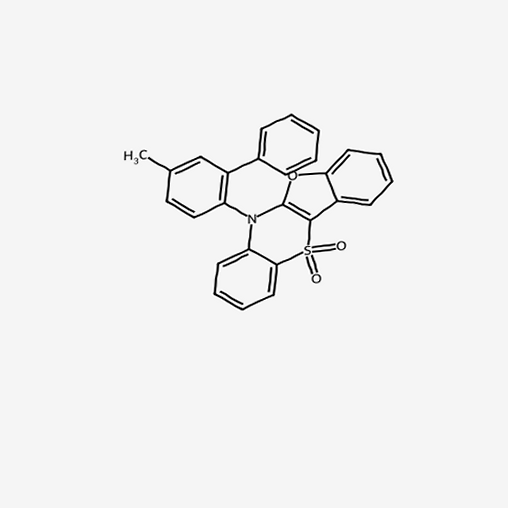 Cc1ccc(N2c3ccccc3S(=O)(=O)c3c2oc2ccccc32)c(-c2ccccc2)c1